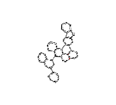 c1ccc(-c2cc(-c3c4ccccc4c(-c4cc5c(cc4-c4ccccc4)oc4ccccc45)c4ccccc34)c3ccccc3c2)cc1